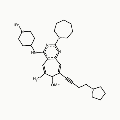 COC1C(C)=Cc2c(nc(N3CCCCCC3)nc2NC2CCN(C(C)C)CC2)C=C1C#CCCN1CCCC1